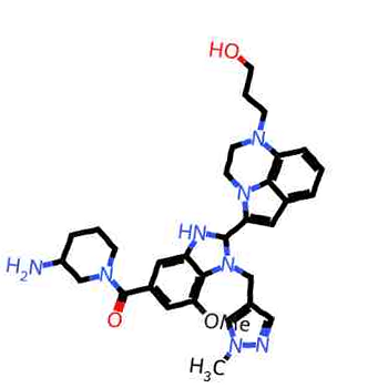 COc1cc(C(=O)N2CCCC(N)C2)cc2c1N(Cc1cnn(C)c1)C(c1cc3cccc4c3n1CCN4CCCO)N2